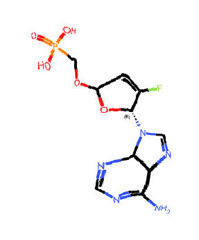 NC1=NC=NC2C1N=CN2[C@@H]1OC(OCP(=O)(O)O)C=C1F